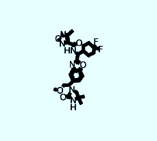 COCC(c1ccc2oc(C(NC(=O)c3nonc3C)C3CCC(F)(F)CC3)nc2c1)N1CC(C)(C)NC1=O